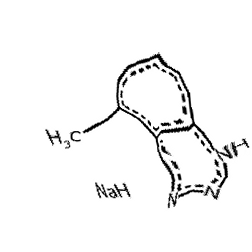 Cc1cccc2[nH]nnc12.[NaH]